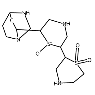 O=S1(=O)CCNCC1C1CNCC(C2CC3CCN2CN3)[S+]1[O-]